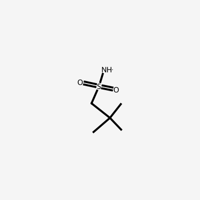 CC(C)(C)CS([NH])(=O)=O